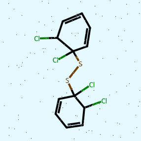 ClC1C=CC=CC1(Cl)SSC1(Cl)C=CC=CC1Cl